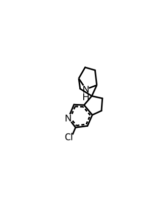 Clc1cc2c(cn1)C1(CC2)CC2CCC1N2